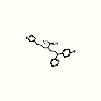 N=C(N)N(CCCc1c[nH]cn1)CCC(c1ccc(F)cc1)c1ccccn1